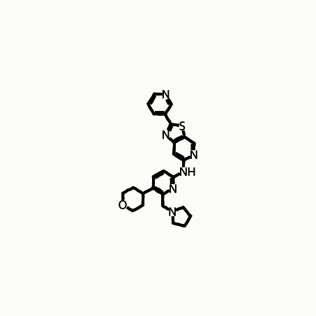 c1cncc(-c2nc3cc(Nc4ccc(C5CCOCC5)c(CN5CCCC5)n4)ncc3s2)c1